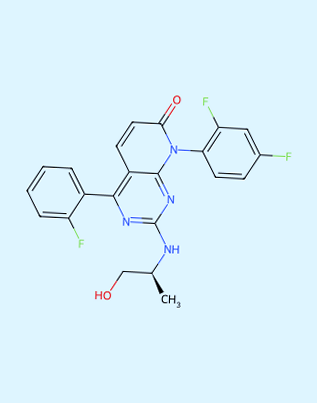 C[C@@H](CO)Nc1nc(-c2ccccc2F)c2ccc(=O)n(-c3ccc(F)cc3F)c2n1